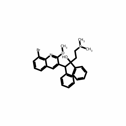 COc1nc2c(Br)cccc2cc1C(c1ccccc1)C(O)(CCN(C)C)c1ccccc1